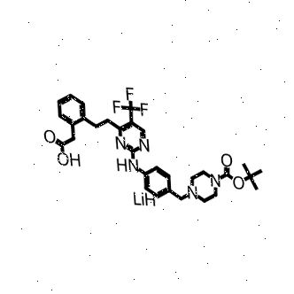 CC(C)(C)OC(=O)N1CCN(Cc2ccc(Nc3ncc(C(F)(F)F)c(CCc4ccccc4CC(=O)O)n3)cc2)CC1.[LiH]